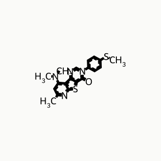 CSc1ccc(-n2cnc3c(sc4nc(C)cc(N(C)C)c43)c2=O)cc1